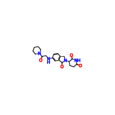 O=C1CCC(N2Cc3ccc(NCC(=O)N4CCCCC4)cc3C2=O)C(=O)N1